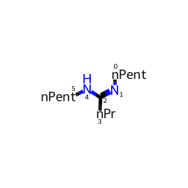 CCCCCN=C(CCC)NCCCCC